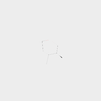 CC1C[C@H](C)OC[C@H]1C